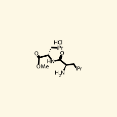 COC(=O)[C@H](CC(C)C)NC(=O)[C@H](N)CC(C)C.Cl